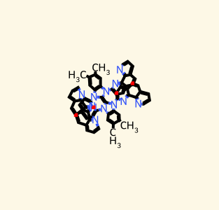 Cc1cc2c(cc1C)N(c1ccc3ccc4cccnc4c3n1)C(=C1N(c3ccc4ccc5cccnc5c4n3)c3cc(C)c(C)cc3N1c1ccc3ccc4cccnc4c3n1)N2c1ccc2ccc3cccnc3c2n1